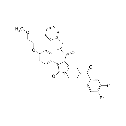 COCCOc1ccc(-n2c(C(=O)NCc3ccccc3)c3n(c2=O)CCN(C(=O)c2ccc(Br)c(Cl)c2)C3)cc1